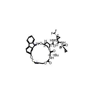 CC(C)(C)[C@@H]1NC(=O)OC/C=C/COc2ccc3c(c2)/C(=N\O[C@@H]2C[C@@H](C(=O)N[C@]4(C(=O)NS(=O)(=O)C5CC5)C[C@H]4C(F)F)N(C2)C1=O)c1ccccc1-3